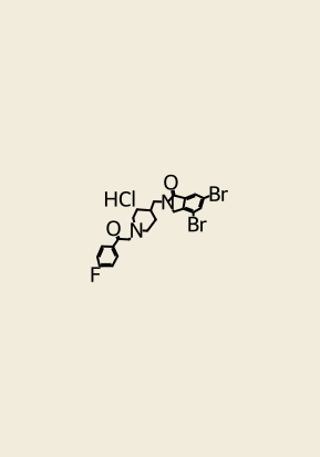 Cl.O=C(CN1CCC(CN2Cc3c(Br)cc(Br)cc3C2=O)CC1)c1ccc(F)cc1